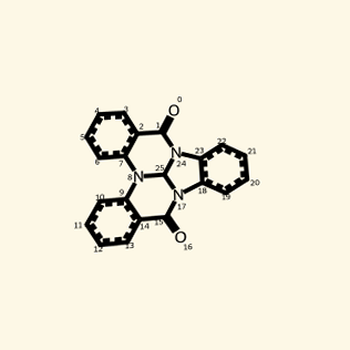 O=C1c2ccccc2N2c3ccccc3C(=O)N3c4ccccc4N1C32